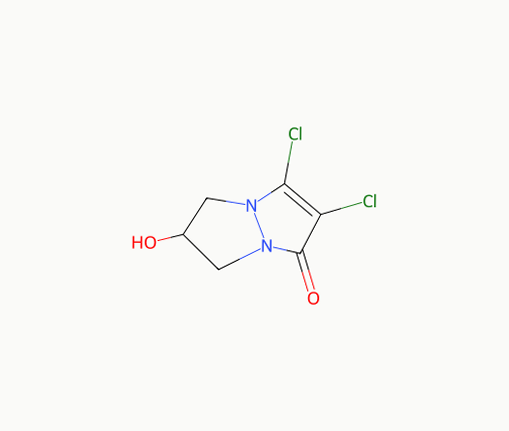 O=c1c(Cl)c(Cl)n2n1CC(O)C2